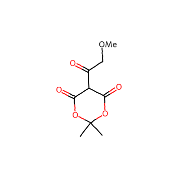 COCC(=O)C1C(=O)OC(C)(C)OC1=O